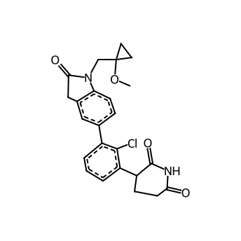 COC1(CN2C(=O)Cc3cc(-c4cccc(C5CCC(=O)NC5=O)c4Cl)ccc32)CC1